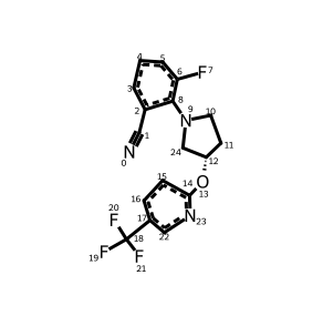 N#Cc1cccc(F)c1N1CC[C@H](Oc2ccc(C(F)(F)F)cn2)C1